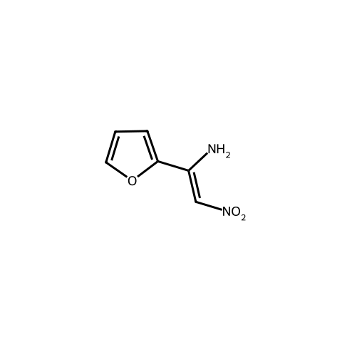 NC(=C[N+](=O)[O-])c1ccco1